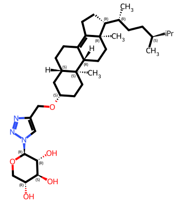 CC(C)[C@@H](C)CC[C@@H](C)[C@H]1CCC2=C3CC[C@H]4C[C@@H](OCc5cn([C@@H]6OC[C@@H](O)[C@H](O)[C@H]6O)nn5)CC[C@]4(C)[C@H]3CC[C@@]21C